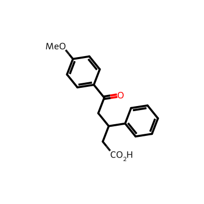 COc1ccc(C(=O)CC(CC(=O)O)c2ccccc2)cc1